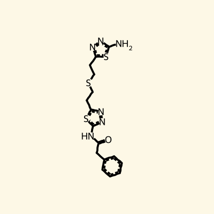 Nc1nnc(CCSCCc2nnc(NC(=O)Cc3ccccc3)s2)s1